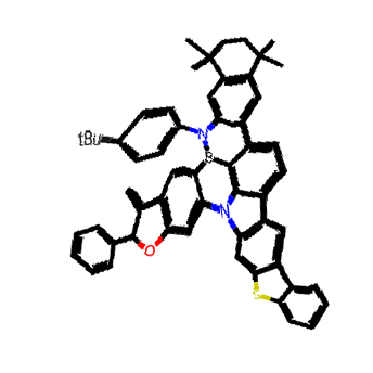 C=C1c2cc3c(cc2OC1c1ccccc1)-n1c2cc4sc5ccccc5c4cc2c2ccc4c(c21)B3N(c1ccc(C(C)(C)C)cc1)c1cc2c(cc1-4)C(C)(C)CCC2(C)C